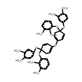 O=C(O)c1ccc(OC2(Oc3cccc(C(=O)O)c3C(=O)O)C=CC(OC3=CCC(Oc4ccc(C(=O)O)c(C(=O)O)c4)(Oc4cccc(C(=O)O)c4C(=O)O)C=C3)=CC2)cc1C(=O)O